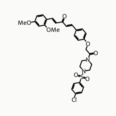 COc1ccc(C=CC(=O)C=Cc2ccc(OCC(=O)N3CCN(S(=O)(=O)c4ccc(Cl)cc4)CC3)cc2)c(OC)c1